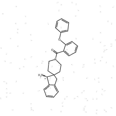 N[C@@H]1c2ccccc2CC12CCN(C(=O)c1ccccc1Oc1ccccc1)CC2